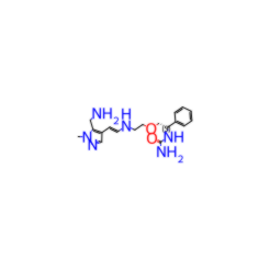 Cn1ncc(C=CNCCOC[C@@H](NC(N)=O)c2ccccc2)c1CN